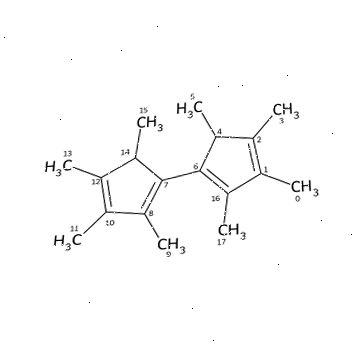 CC1=C(C)C(C)C(C2=C(C)C(C)=C(C)C2C)=C1C